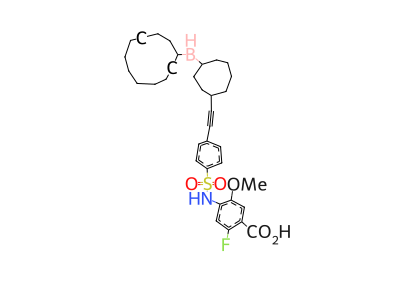 COc1cc(C(=O)O)c(F)cc1NS(=O)(=O)c1ccc(C#CC2CCCCC(BC3CCCCCCCCCC3)CC2)cc1